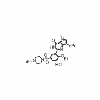 CCCc1cn(C)c2c(=O)[nH]c(-c3cc(S(=O)(=O)N4CCN(C(C)C)CC4)ccc3OCC)nc12.Cl